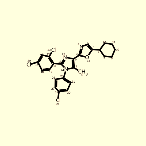 Cc1c(-c2ncc(C3CCCCC3)o2)nc(-c2ccc(Cl)cc2Cl)n1-c1ccc(Cl)cc1